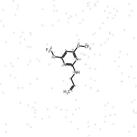 C=CCNc1nc(OC(F)(F)F)cc(OC(F)(F)F)n1